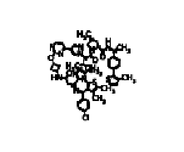 Cc1ccsc1-c1ccc([C@H](C)NC(=O)[C@@H]2C[C@@H](C)CN2C(=O)[C@H](C(C)C)n2cc(-c3ccnc(O[C@H]4C[C@@H](NC(=O)C[C@@H]5N=C(c6ccc(Cl)cc6)c6c(sc(C)c6C)-n6c(C)nnc65)C4)n3)cn2)cc1